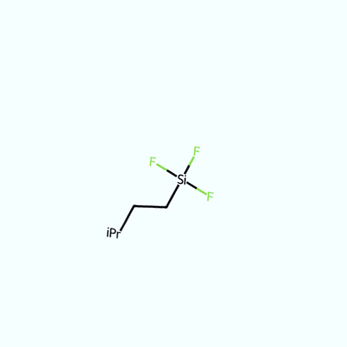 CC(C)CC[Si](F)(F)F